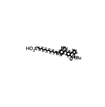 CC(C)(C)OC(=O)c1ccc(-c2ncnc3cc(OCCCCCCCCCCCC(=O)O)ccc23)cc1C1CCCC1